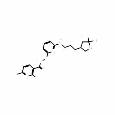 CC1(C)CC(CCCNc2cccc(SNC(=O)c3ccc(Cl)nc3Cl)n2)CN1